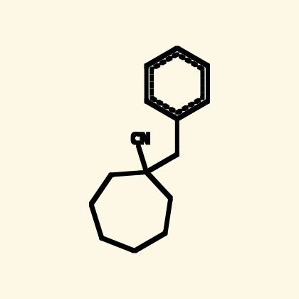 N#CC1(Cc2ccccc2)CCCCCC1